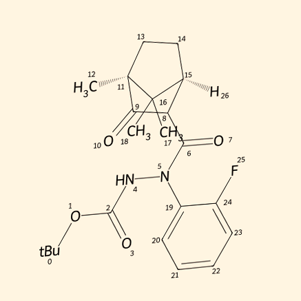 CC(C)(C)OC(=O)NN(C(=O)C1C(=O)[C@@]2(C)CC[C@@H]1C2(C)C)c1ccccc1F